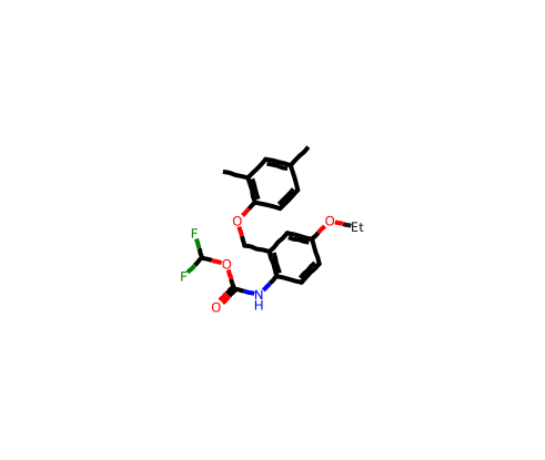 CCOc1ccc(NC(=O)OC(F)F)c(COc2ccc(C)cc2C)c1